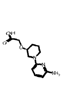 Nc1cccc(N2CCC[C@H](OCC(=O)O)C2)n1